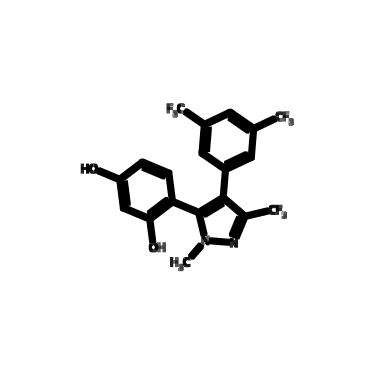 Cn1nc(C(F)(F)F)c(-c2cc(C(F)(F)F)cc(C(F)(F)F)c2)c1-c1ccc(O)cc1O